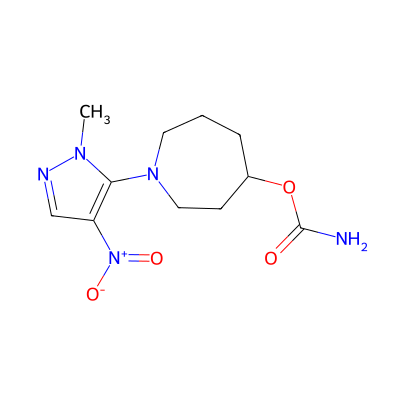 Cn1ncc([N+](=O)[O-])c1N1CCCC(OC(N)=O)CC1